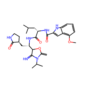 C=C1OC([C@H](C[C@@H]2CCNC2=O)NC(=O)[C@H](CC(C)C)NC(=O)c2cc3c(OC)cccc3[nH]2)C(=N)N1C(C)C